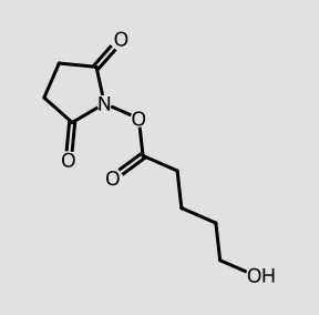 O=C(CCCCO)ON1C(=O)CCC1=O